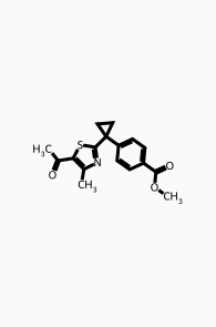 COC(=O)c1ccc(C2(c3nc(C)c(C(C)=O)s3)CC2)cc1